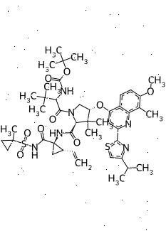 C=C[C@@H]1C[C@]1(NC(=O)[C@H]1N(C(=O)C(NC(=O)OC(C)(C)C)C(C)(C)C)C[C@H](Oc2cc(-c3nc(C(C)C)cs3)nc3c(C)c(OC)ccc23)C1(C)C)C(=O)NS(=O)(=O)C1(C)CC1